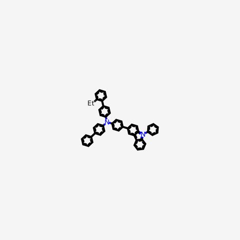 CCc1ccccc1-c1ccc(N(c2ccc(-c3ccccc3)cc2)c2ccc(-c3ccc4c(c3)c3ccccc3n4-c3ccccc3)cc2)cc1